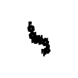 Nc1ccc(-c2ccc(F)cc2)nc1NC(=O)N1Cc2cc(CN3CCC(F)(F)C3)cnc2C1